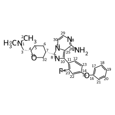 CN(C)C[C@@H]1CC[C@H](c2nc(-c3ccc(Oc4ccccc4)cc3F)c3c(N)nccn23)CO1